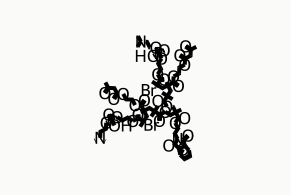 CC(=O)CC(=O)OCCOC(=O)C(C)(CC(C)(C)C(=O)OCC(C)(COC(=O)C(C)(C)CC(C)(CC(C)(Br)C(=O)OCCOP(=O)(O)OCCN(C)C)C(=O)OCCOC(=O)CC(C)=O)C(=O)OCCN1C(=O)C2C3C=CC(O3)C2C1=O)CC(C)(Br)C(=O)OCCOP(=O)(O)OCCN(C)C